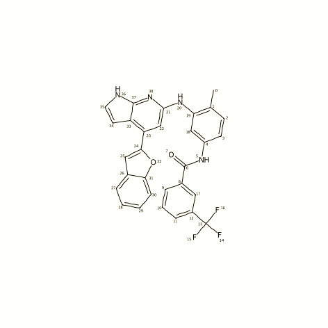 Cc1ccc(NC(=O)c2cccc(C(F)(F)F)c2)cc1Nc1cc(-c2cc3ccccc3o2)c2cc[nH]c2n1